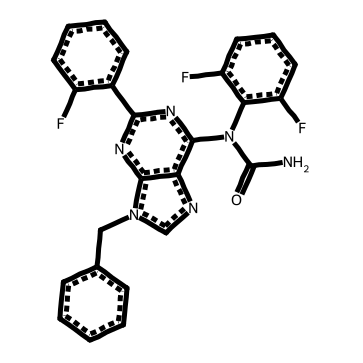 NC(=O)N(c1c(F)cccc1F)c1nc(-c2ccccc2F)nc2c1ncn2Cc1ccccc1